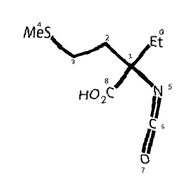 CCC(CCSC)(N=C=O)C(=O)O